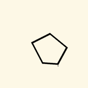 [CH]1CCCC1